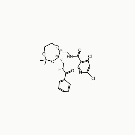 CC1(C)OCCO[C@H](CNC(=O)c2cnc(Cl)cc2Cl)[C@H](CNC(=O)c2ccccc2)O1